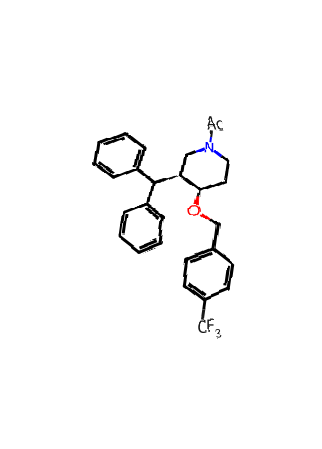 CC(=O)N1CC[C@@H](OCc2ccc(C(F)(F)F)cc2)[C@@H](C(c2ccccc2)c2ccccc2)C1